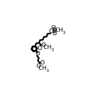 COC(=O)CCCOc1cccc(CC(CCCCCCOS(C)(=O)=O)C(=O)OC)c1